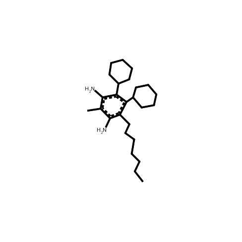 CCCCCCCc1c(N)c(C)c(N)c(C2CCCCC2)c1C1CCCCC1